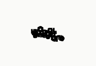 CC(C)(COc1cccc2c1C(N)=NS(=O)(=O)N2)NC(=O)c1ccnc(Cn2cccc2)c1